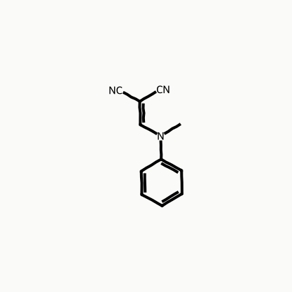 CN(C=C(C#N)C#N)c1ccccc1